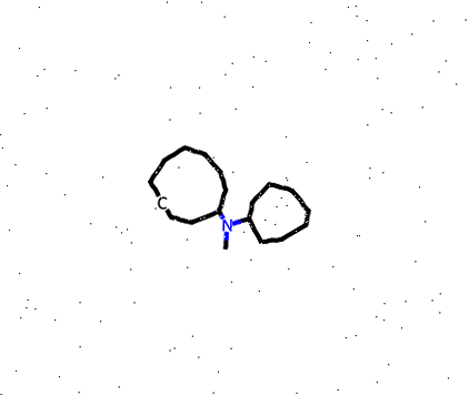 CN(C1CCCCCCCCC1)C1CCCCCCC1